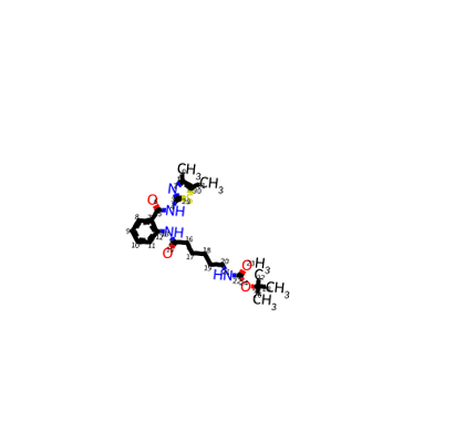 Cc1nc(NC(=O)c2ccccc2NC(=O)CCCCCNC(=O)OC(C)(C)C)sc1C